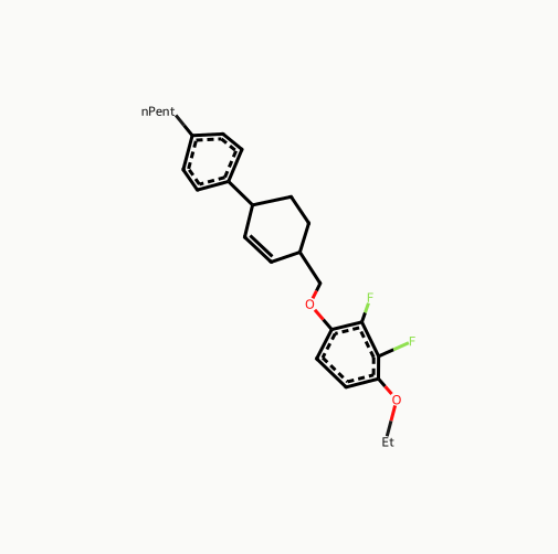 CCCCCc1ccc(C2C=CC(COc3ccc(OCC)c(F)c3F)CC2)cc1